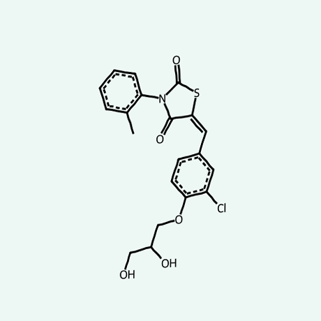 Cc1ccccc1N1C(=O)SC(=Cc2ccc(OCC(O)CO)c(Cl)c2)C1=O